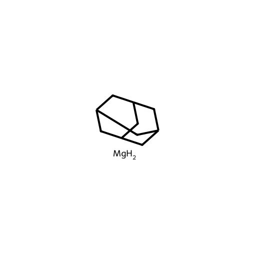 C1C2CC3CC1CC(C2)C3.[MgH2]